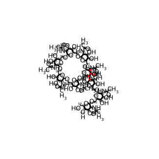 CC(=O)N[C@@H]1[C@@H](O)[C@H](O)[C@@H](CO[C@@H]2O[C@H](CO[C@@H]3O[C@H](CO[C@@H]4O[C@H](CO[C@@H]5O[C@H](CO[C@@H]6O[C@H](CO[C@@H]7O[C@H](CO[C@@H]8O[C@H](CO[C@@H]9O[C@H](CO)[C@@H](O)[C@H](O)[C@H]9NC(C)=O)[C@@H](O)[C@H](O)[C@H]8NC(C)=O)[C@@H](O)[C@H](O)[C@H]7NC(C)=O)[C@@H](O)[C@H](O)[C@H]6NC(C)=O)[C@@H](O)[C@H](O)[C@H]5NC(C)=O)[C@@H](O)[C@H](O)[C@H]4NC(C)=O)[C@@H](O)[C@H](O)[C@H]3NC(C)=O)[C@@H](O)[C@H](O)[C@H]2NC(C)=O)O[C@H]1O